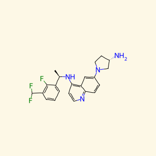 C[C@@H](Nc1ccnc2ccc(N3CC[C@H](N)C3)cc12)c1cccc(C(F)F)c1F